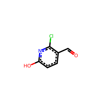 O=Cc1ccc(O)nc1Cl